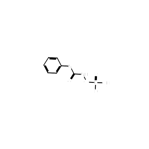 CCP(=O)(O)ONC(=O)Nc1ccccc1